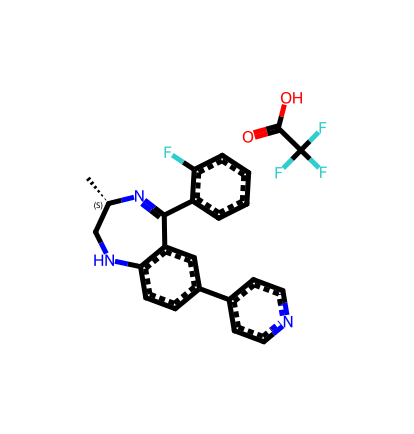 C[C@H]1CNc2ccc(-c3ccncc3)cc2C(c2ccccc2F)=N1.O=C(O)C(F)(F)F